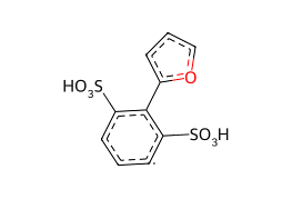 O=S(=O)(O)c1[c]ccc(S(=O)(=O)O)c1-c1ccco1